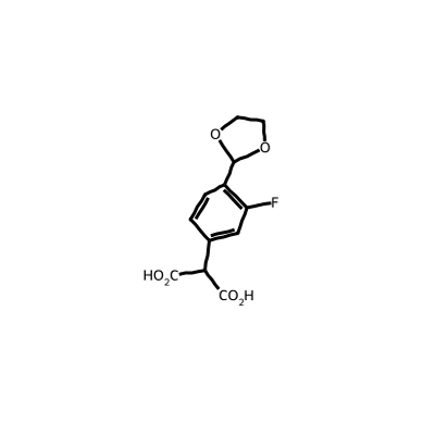 O=C(O)C(C(=O)O)c1ccc(C2OCCO2)c(F)c1